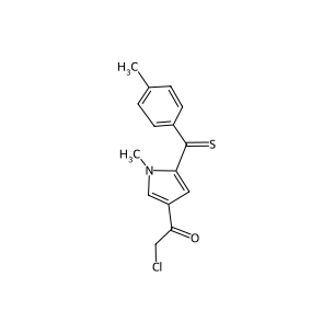 Cc1ccc(C(=S)c2cc(C(=O)CCl)cn2C)cc1